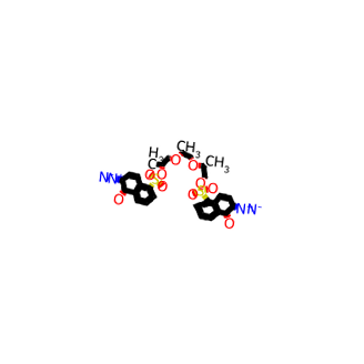 CC(COC(C)COS(=O)(=O)c1cccc2c1C=CC(=[N+]=[N-])C2=O)OCC(C)OS(=O)(=O)c1cccc2c1C=CC(=[N+]=[N-])C2=O